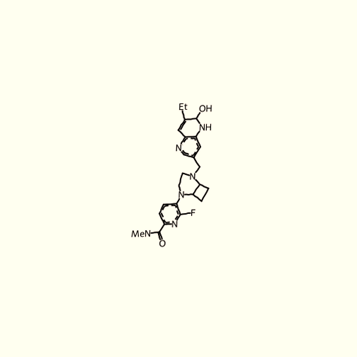 CCC1=Cc2ncc(CN3CCN(c4ccc(C(=O)NC)nc4F)C4CCC43)cc2NC1O